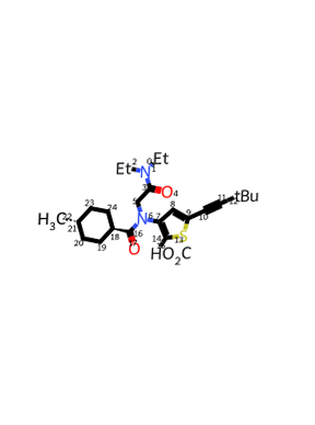 CCN(CC)C(=O)CN(c1cc(C#CC(C)(C)C)sc1C(=O)O)C(=O)[C@H]1CC[C@H](C)CC1